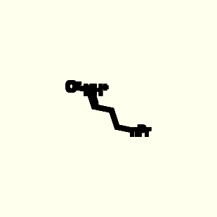 CCCCCC=[NH+][O-]